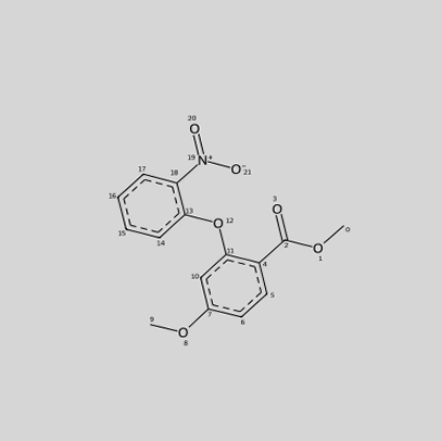 COC(=O)c1ccc(OC)cc1Oc1ccccc1[N+](=O)[O-]